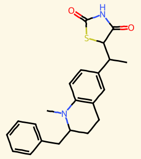 CC(c1ccc2c(c1)CCC(Cc1ccccc1)N2C)C1SC(=O)NC1=O